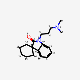 CN(C)CCCN1C(=O)C2(CCCCC2)c2ccccc21